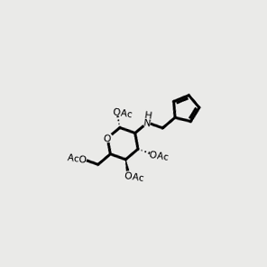 CC(=O)OCC1O[C@H](OC(C)=O)C(NCC2C=CC=C2)[C@H](OC(C)=O)[C@H]1OC(C)=O